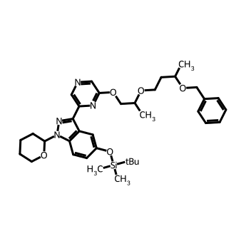 CC(CCOC(C)COc1cncc(-c2nn(C3CCCCO3)c3ccc(O[Si](C)(C)C(C)(C)C)cc23)n1)OCc1ccccc1